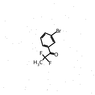 CC(F)(F)C(=O)c1cccc(Br)c1